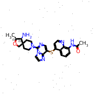 CC(=O)Nc1cccc2c(Sc3cnc(N4CCC5(CC4)CO[C@@H](C)[C@H]5N)n4ccnc34)ccnc12